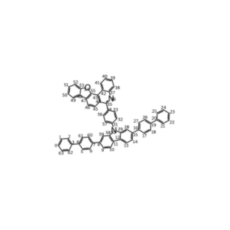 c1ccc(-c2ccc(-c3ccc4c5ccc(-c6ccc(-c7ccccc7)cc6)cc5n(-c5ccc(-c6nc7ccccc7c7c6ccc6c8ccccc8oc67)cc5)c4c3)cc2)cc1